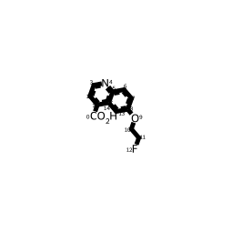 O=C(O)c1ccnc2ccc(OCCF)cc12